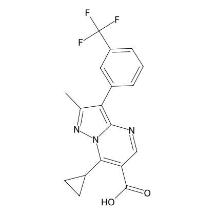 Cc1nn2c(C3CC3)c(C(=O)O)cnc2c1-c1cccc(C(F)(F)F)c1